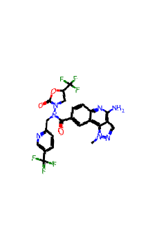 Cn1ncc2c(N)nc3ccc(C(=O)N(Cc4ccc(C(F)(F)F)cn4)N4CC(C(F)(F)F)OC4=O)cc3c21